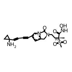 C[C@@](CCN1Cc2cc(C#CC#CC3(N)CC3)cn2C1=O)(C(=O)NO)S(C)(=O)=O